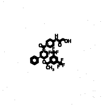 C[C@@H](O[C@H]1CCN(C(=O)N2CCC(NC(=O)CO)CC2)C[C@H]1c1ccccc1)c1cc(C(F)(F)F)cc(C(F)(F)F)c1